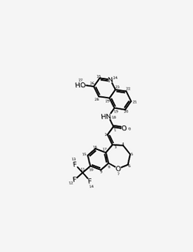 O=C(C=C1CCCOc2cc(C(F)(F)F)ccc21)Nc1cccc2ncc(O)cc12